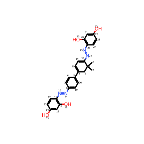 CC1(C)CC(c2ccc(N=Nc3ccc(O)cc3O)cc2)=CC=C1N=Nc1ccc(O)cc1O